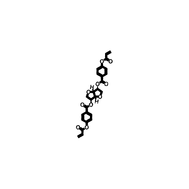 C=CC(=O)Oc1ccc(C(=O)O[C@H]2CO[C@H]3[C@@H]2OC[C@H]3OC(=O)c2ccc(OC(=O)C=C)cc2)cc1